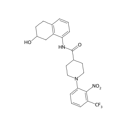 O=C(Nc1cccc2c1CC(O)CC2)C1CCN(c2cccc(C(F)(F)F)c2[N+](=O)[O-])CC1